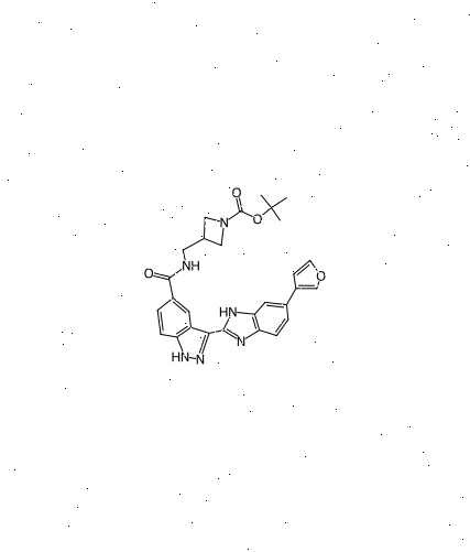 CC(C)(C)OC(=O)N1CC(CNC(=O)c2ccc3[nH]nc(-c4nc5ccc(-c6ccoc6)cc5[nH]4)c3c2)C1